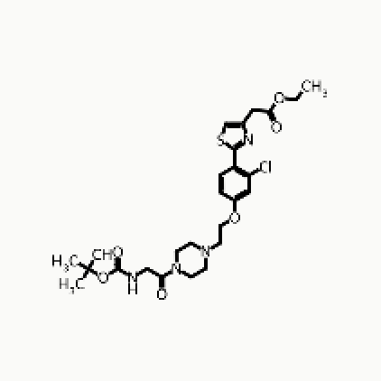 CCOC(=O)Cc1csc(-c2ccc(OCCN3CCN(C(=O)CNC(=O)OC(C)(C)C)CC3)cc2Cl)n1